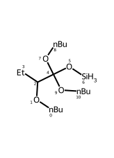 CCCCOC(CC)C(O[SiH3])(OCCCC)OCCCC